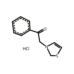 Cl.O=C(CN1C=CSC1)c1ccccc1